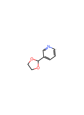 [c]1ccc(C2OCCO2)cn1